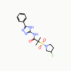 CC(C)(C(=O)Nc1nnc(-c2ccccc2)[nH]1)S(=O)(=O)N1CCC(F)C1